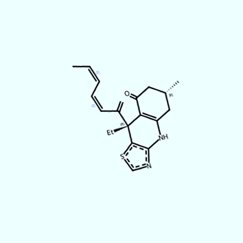 C=C(/C=C\C=C/C)[C@]1(CC)C2=C(C[C@@H](C)CC2=O)Nc2ncsc21